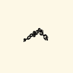 O=C(c1ccc(-c2ccncc2)nn1)N1CCN(S(=O)(=O)c2ccc3cc(Br)ccc3c2)CC1